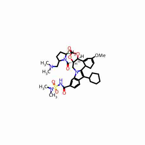 COC1=CCC2C(=C1)[C@@H]1OC(=O)O[C@]1(C(=O)N1C(C)CCC1CN(C)C)Cn1c2c(C2CCCCC2)c2ccc(C(=O)NS(=O)(=O)N(C)C)cc21